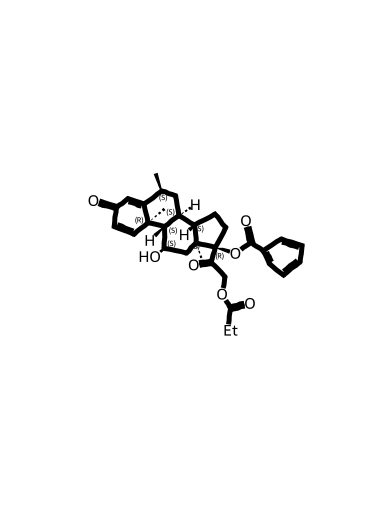 CCC(=O)OCC(=O)[C@@]1(OC(=O)c2ccccc2)CC[C@H]2[C@@H]3C[C@H](C)C4=CC(=O)C=C[C@]4(C)[C@H]3[C@@H](O)C[C@@]21C